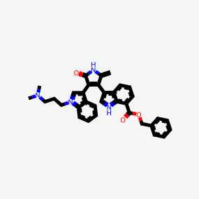 C=C1NC(=O)C(c2cn(CCCN(C)C)c3ccccc23)=C1c1c[nH]c2c(C(=O)OCc3ccccc3)cccc12